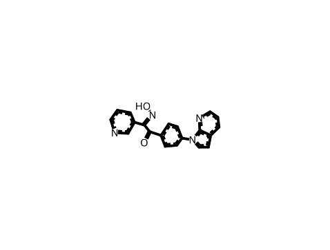 O=C(C(=NO)c1cccnc1)c1ccc(-n2ccc3cccnc32)cc1